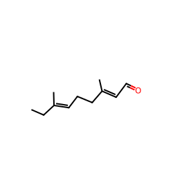 CC/C(C)=C/CC/C(C)=C/C=O